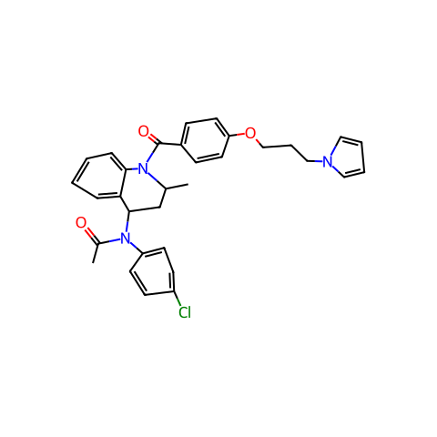 CC(=O)N(c1ccc(Cl)cc1)C1CC(C)N(C(=O)c2ccc(OCCCn3cccc3)cc2)c2ccccc21